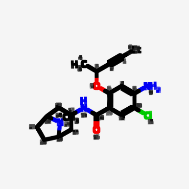 CCC#CC(C)Oc1cc(N)c(Cl)cc1C(=O)NC1CC2CCC(C1)N2C